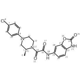 C[C@H]1CN(c2ccc(Cl)cc2)CCN1C(=O)C(=O)Nc1ccc2[nH]c(=O)oc2c1